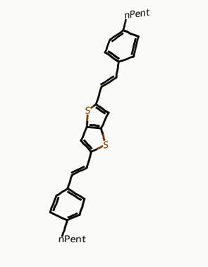 CCCCCc1ccc(C=Cc2cc3sc(C=Cc4ccc(CCCCC)cc4)cc3s2)cc1